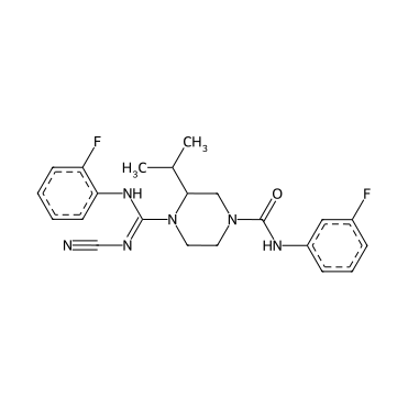 CC(C)C1CN(C(=O)Nc2cccc(F)c2)CCN1/C(=N/C#N)Nc1ccccc1F